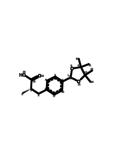 C[C@@H](Cc1ccc(B2OC(C)(C)C(C)(C)O2)cc1)C(=O)O